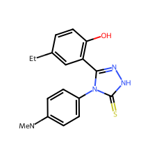 CCc1ccc(O)c(-c2n[nH]c(=S)n2-c2ccc(NC)cc2)c1